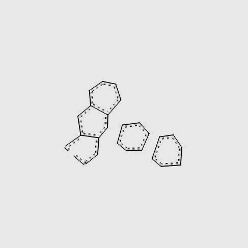 c1ccc2cc3ccccc3cc2c1.c1ccccc1.c1ccccc1